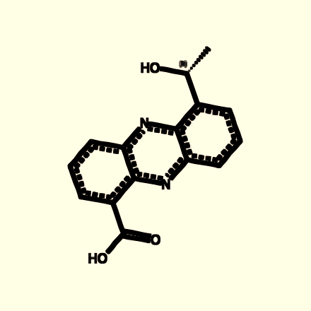 C[C@@H](O)c1cccc2nc3c(C(=O)O)cccc3nc12